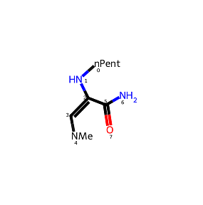 CCCCCN/C(=C/NC)C(N)=O